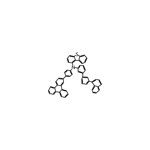 c1cc(-c2cccc(N(c3ccc(-c4ccc5c6ccccc6c6ccccc6c5c4)cc3)c3cccc4sc5ccccc5c34)c2)cc(-c2cccc3ccccc23)c1